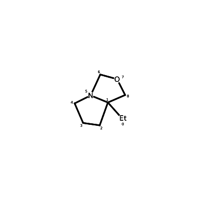 CCC12CCCN1COC2